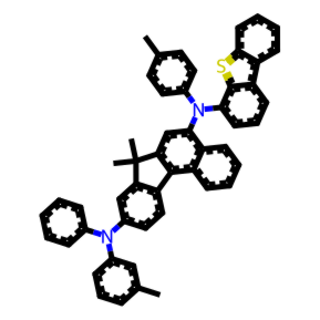 Cc1ccc(N(c2cc3c(c4ccccc24)-c2ccc(N(c4ccccc4)c4cccc(C)c4)cc2C3(C)C)c2cccc3c2sc2ccccc23)cc1